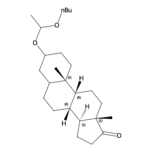 CCCCOC(C)OC1CC[C@@]2(C)C(CC[C@@H]3[C@H]2CC[C@]2(C)C(=O)CC[C@@H]32)C1